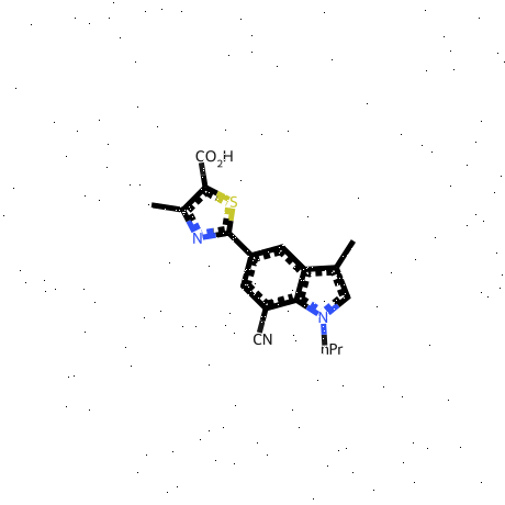 CCCn1cc(C)c2cc(-c3nc(C)c(C(=O)O)s3)cc(C#N)c21